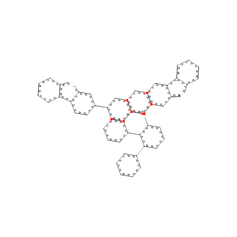 c1ccc(-c2ccccc2-c2c(-c3ccccc3)cccc2N(c2ccc(-c3ccc4c(c3)sc3ccccc34)cc2)c2ccc3c(c2)sc2ccccc23)cc1